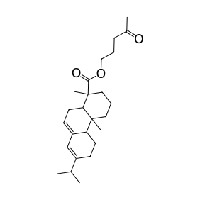 CC(=O)CCCOC(=O)C1(C)CCCC2(C)C3CCC(C(C)C)=CC3=CCC12